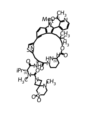 CCn1c(-c2cccnc2[C@H](C)OC)c2c3cc(ccc31)-c1csc(n1)C[C@H](NC(=O)[C@H](C(C)C)N(C)C(=O)N1CC3(C1)CS(=O)(=O)CCN3C)C(=O)N1CCC[C@H](N1)C(=O)OCC(C)(C)C2